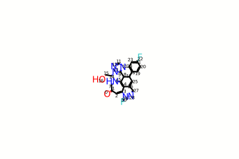 O=C1C=C2C3=C(NC1)C(c1ncnn1CCO)C(c1ccc(F)cc1)C=C3C=NN2F